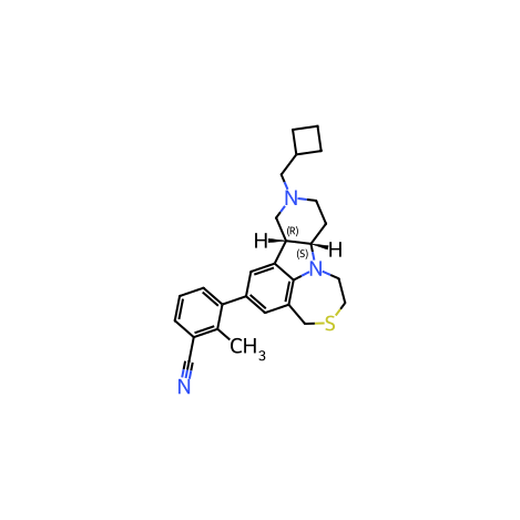 Cc1c(C#N)cccc1-c1cc2c3c(c1)[C@@H]1CN(CC4CCC4)CC[C@@H]1N3CCSC2